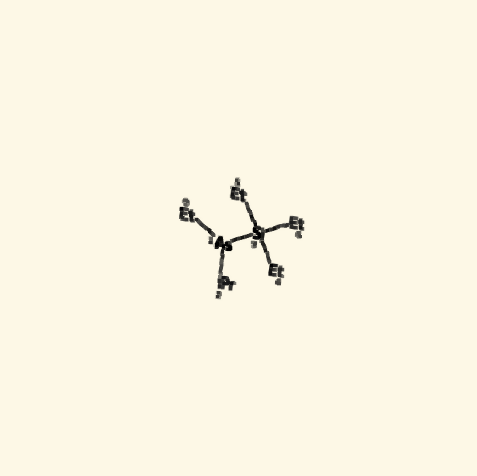 CC[As](C(C)C)[Si](CC)(CC)CC